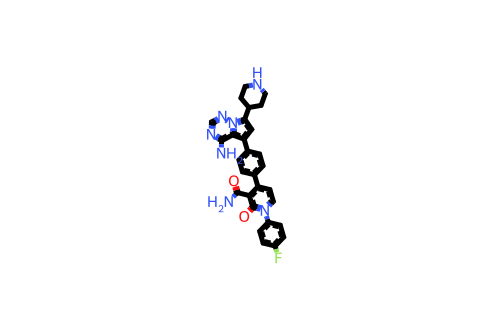 NC(=O)c1c(-c2ccc(-c3cc(C4CCNCC4)n4ncnc(N)c34)cc2)ccn(-c2ccc(F)cc2)c1=O